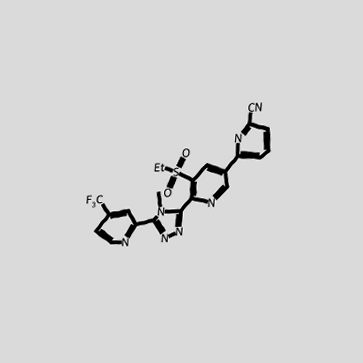 CCS(=O)(=O)c1cc(-c2cccc(C#N)n2)cnc1-c1nnc(-c2cc(C(F)(F)F)ccn2)n1C